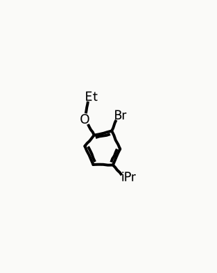 [CH2]C(C)c1ccc(OCC)c(Br)c1